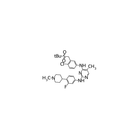 Cc1cnc(Nc2ccc(C3CCN(C)CC3)c(F)c2)nc1Nc1ccc(Cl)c(CS(=O)(=O)C(C)(C)C)c1